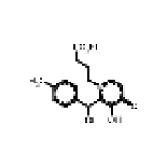 CCOC(=O)CCCn1ccc(=O)c(O)c1C(O)c1ccc(C)cc1